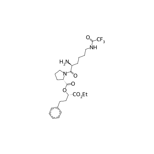 CCOC(=O)[C@H](CCc1ccccc1)OC(=O)[C@@H]1CCCN1C(=O)[C@@H](N)CCCCNC(=O)C(F)(F)F